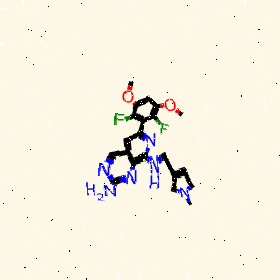 COc1cc(OC)c(F)c(-c2cc3cnc(N)nc3c(NCC3CCN(C)C3)n2)c1F